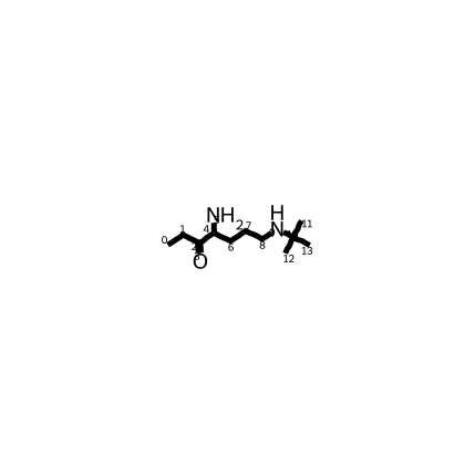 CCC(=O)C(N)CCCNC(C)(C)C